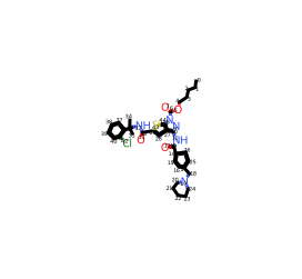 CCCCCOC(=O)n1nc(NC(=O)c2ccc(CN3CCCCC3)cc2)c2cc(C(=O)NC(C)(C)c3ccccc3Cl)sc21